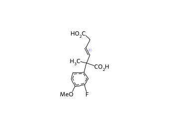 COc1ccc(C(C)(/C=C/CC(=O)O)C(=O)O)cc1F